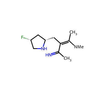 CN/C(C)=C(/C[C@H]1C[C@@H](F)CN1)C(C)=N